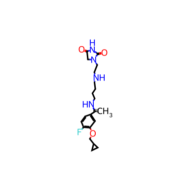 C[C@@H](NCCCCNCCN1CC(=O)NC1=O)c1ccc(F)c(OCC2CC2)c1